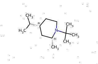 CC(C)[C@@H]1CCN(C(C)(C)C)[C@H](C)C1